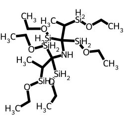 CCO[SiH2]C(C)C(NC([SiH2]OCC)([SiH2]OCC)C(C)[SiH2]OCC)([SiH2]OCC)[SiH2]OCC